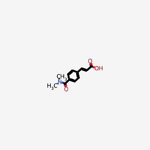 CN(C)C(=O)c1ccc(C=CC(=O)O)cc1